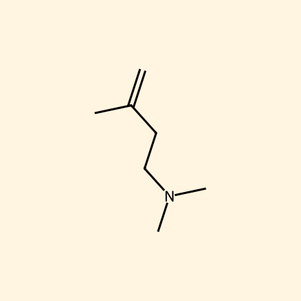 C=C(C)CCN(C)C